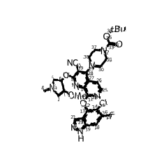 COC1CN(C)CC1Oc1nc2c(Oc3c(Cl)c(F)cc4[nH]ncc34)nccc2c(N2CCN(C(=O)OC(C)(C)C)CC2)c1C#N